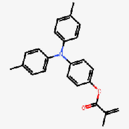 C=C(C)C(=O)Oc1ccc(N(c2ccc(C)cc2)c2ccc(C)cc2)cc1